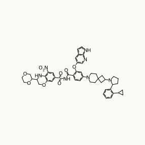 O=C(NS(=O)(=O)c1cc2c(c([N+](=O)[O-])c1)NC(C1COCCO1)CO2)c1ccc(N2CCC3(CC2)CC(N2CCCC2c2ccccc2C2CC2)C3)cc1Oc1cnc2[nH]ccc2c1